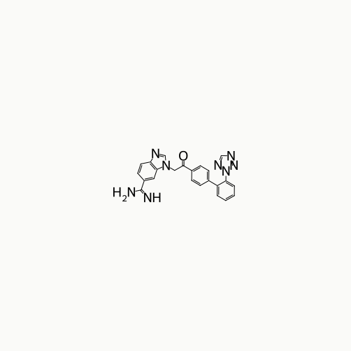 N=C(N)c1ccc2ncn(CC(=O)c3ccc(-c4ccccc4-n4ncnn4)cc3)c2c1